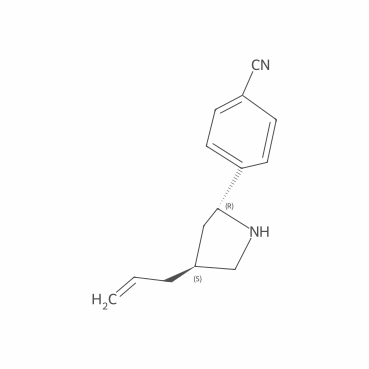 C=CC[C@@H]1CN[C@@H](c2ccc(C#N)cc2)C1